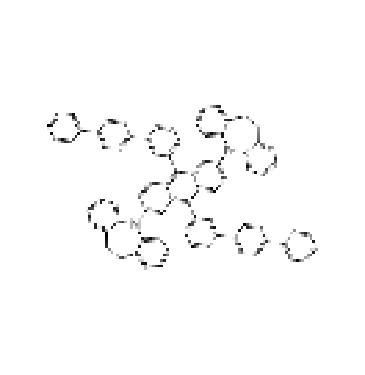 c1ccc(-c2ccc(-c3cccc(-c4c5ccc(N6c7ccccc7CCc7ccccc76)cc5c(-c5cccc(-c6ccc(-c7ccccc7)cc6)c5)c5ccc(N6c7ccccc7CCc7ccccc76)cc45)c3)cc2)cc1